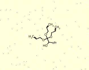 C=CCOC(OCC=C)(OCC=C)C(O)CCC